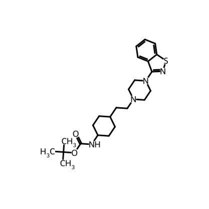 CC(C)(C)OC(=O)NC1CCC(CCN2CCN(c3nsc4ccccc34)CC2)CC1